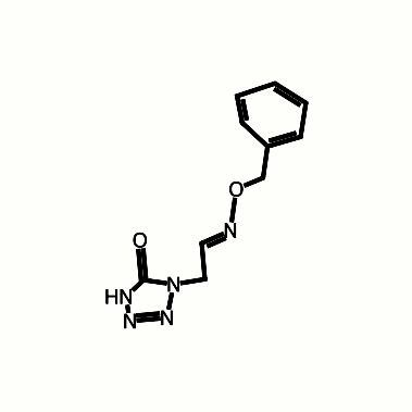 O=c1[nH]nnn1CC=NOCc1ccccc1